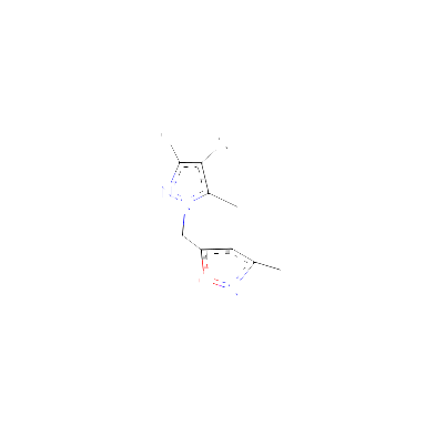 Cc1cc(Cn2nc(C(F)(F)F)c([N+](=O)[O-])c2C)on1